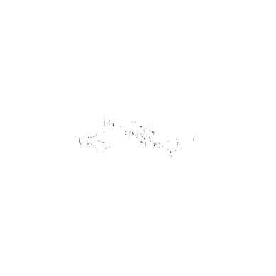 CC(=O)CCC(=O)OC1C[C@H](n2cnc3c(NC(=O)CCCN(C)C(=O)OCC4c5ccccc5-c5ccccc54)ncnc32)O[C@@H]1CO